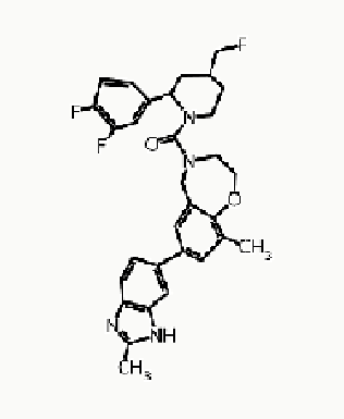 Cc1nc2ccc(-c3cc(C)c4c(c3)CN(C(=O)N3CC[C@H](CF)C[C@@H]3c3ccc(F)c(F)c3)CCO4)cc2[nH]1